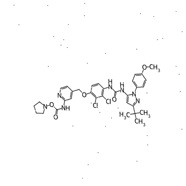 COc1ccc(-n2nc(C(C)(C)C)cc2NC(=O)Nc2ccc(OCc3ccnc(NC(=O)ON4CCCC4)c3)c(Cl)c2Cl)cc1